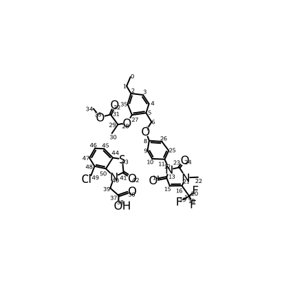 CCc1ccc(COc2ccc(-n3c(=O)cc(C(F)(F)F)n(C)c3=O)cc2)c(OC(C)C(=O)OC)c1.O=C(O)Cn1c(=O)sc2cccc(Cl)c21